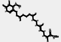 CCOC1C(CCC(C)CCCC(C)CCC/C(C)=C/CCC(C)C(=O)OC)=CCC(C)C1C